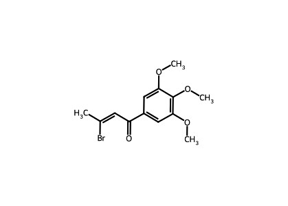 COc1cc(C(=O)C=C(C)Br)cc(OC)c1OC